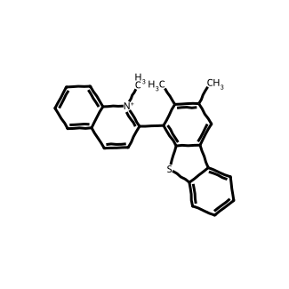 Cc1cc2c(sc3ccccc32)c(-c2ccc3ccccc3[n+]2C)c1C